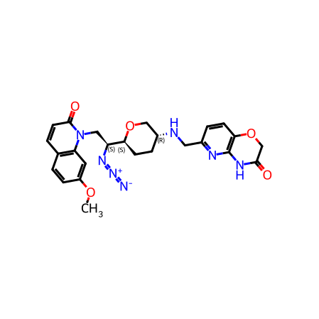 COc1ccc2ccc(=O)n(C[C@H](N=[N+]=[N-])[C@@H]3CC[C@@H](NCc4ccc5c(n4)NC(=O)CO5)CO3)c2c1